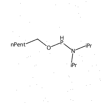 CCCCCCOPN(C(C)C)C(C)C